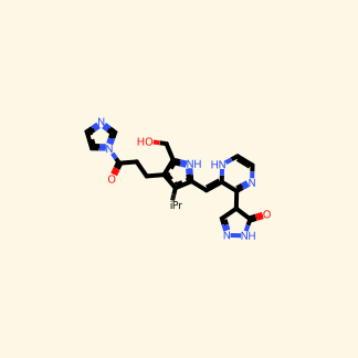 CC(C)c1c(C=C2NC=CN=C2C2C=NNC2=O)[nH]c(CO)c1CCC(=O)n1ccnc1